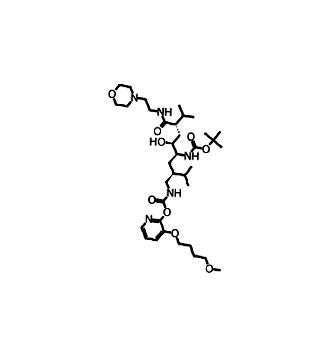 COCCCCOc1cccnc1OC(=O)NC[C@@H](C[C@H](NC(=O)OC(C)(C)C)[C@@H](O)C[C@H](C(=O)NCCN1CCOCC1)C(C)C)C(C)C